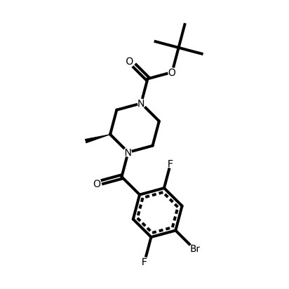 C[C@H]1CN(C(=O)OC(C)(C)C)CCN1C(=O)c1cc(F)c(Br)cc1F